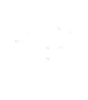 COC(=O)c1ccc(C2CN(Cc3ccccc3)CCN2Cc2c(OC)cc(C)c3[nH]ccc23)cc1